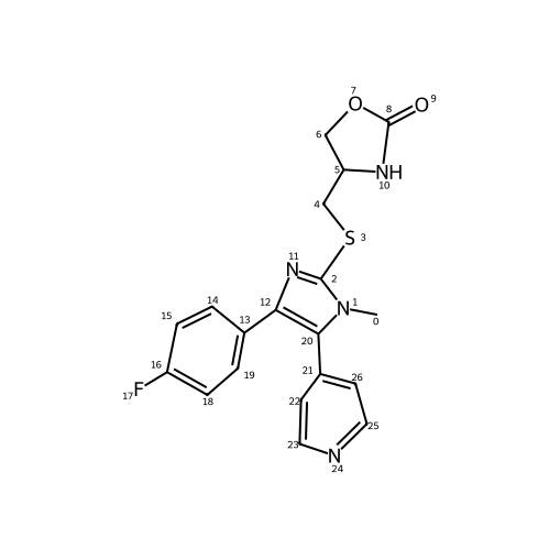 Cn1c(SCC2COC(=O)N2)nc(-c2ccc(F)cc2)c1-c1ccncc1